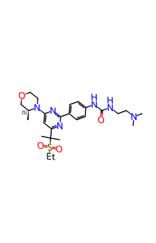 CCS(=O)(=O)C(C)(C)c1cc(N2CCOC[C@@H]2C)nc(-c2ccc(NC(=O)NCCN(C)C)cc2)n1